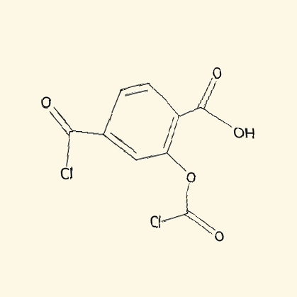 O=C(Cl)Oc1cc(C(=O)Cl)ccc1C(=O)O